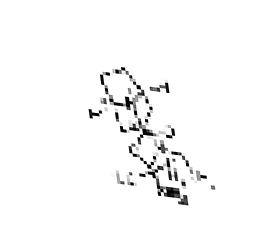 CCN(CC)[C@@H]1C[C@H]2CC[C@@H](C1)N2C(=O)OC(C)(C)C